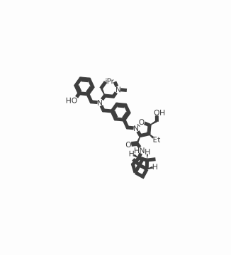 CC[C@@H]1[C@H](CO)ON(Cc2cccc(CN(Cc3ccccc3O)[C@@H](CC(C)C)CN(C)C)c2)[C@@H]1C(=O)N[C@H]1CC2C[C@@H]([C@@H]1C)C2(C)C